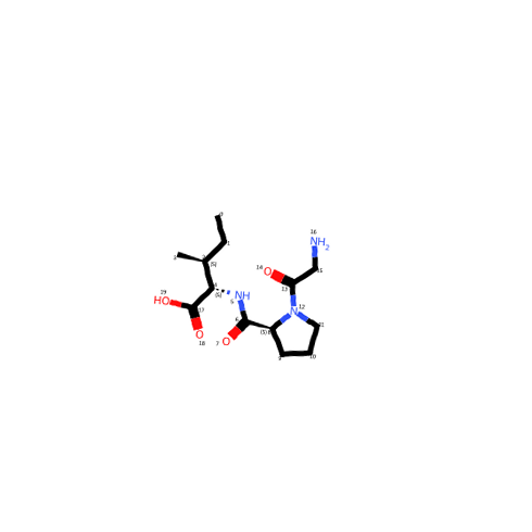 CC[C@H](C)[C@H](NC(=O)[C@@H]1CCCN1C(=O)CN)C(=O)O